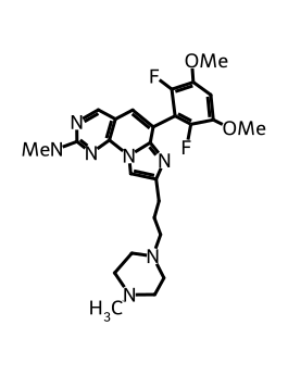 CNc1ncc2cc(-c3c(F)c(OC)cc(OC)c3F)c3nc(CCCN4CCN(C)CC4)cn3c2n1